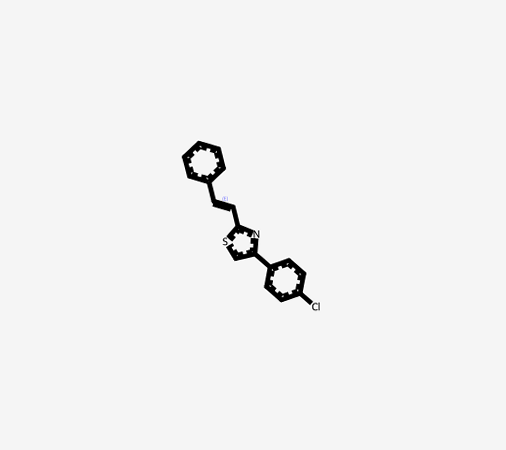 Clc1ccc(-c2csc(/C=C/c3ccccc3)n2)cc1